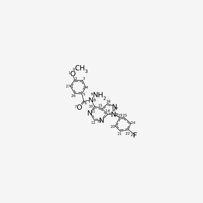 COc1ccc(C(=O)N(N)c2ncnc3c2cnn3-c2ccc(F)cc2)cc1